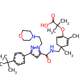 CC1=CC(C)(CNC(=O)c2cc(-c3ccc(C(C)(C)C)cc3)nn2CCN2CCOCC2)CC=C1OC(C)(C)C(=O)O